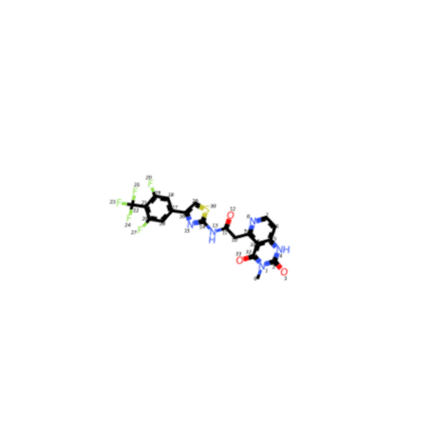 Cn1c(=O)[nH]c2ccnc(CC(=O)Nc3nc(-c4cc(F)c(C(F)(F)F)c(F)c4)cs3)c2c1=O